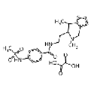 CC1c2sccc2CN(C)C1CCNC(=O)c1ccc(NS(C)(=O)=O)cc1.O=C(O)C(=O)O